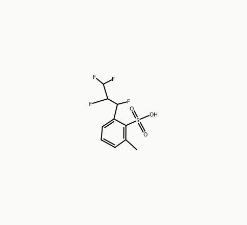 Cc1cccc(C(F)C(F)C(F)F)c1S(=O)(=O)O